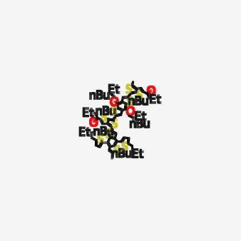 CCCCC(CC)COc1c2cc(-c3sc(-c4cc5c(-c6ccc(CC(CC)CCCC)s6)c6sc(C)cc6c(-c6ccc(CC(CC)CCCC)s6)c5s4)c4cc(C(=O)C(CC)CCCC)sc34)sc2c(OCC(CC)CCCC)c2cc(-c3sc(C)c4cc(C(=O)C(CC)CCCC)sc34)sc12